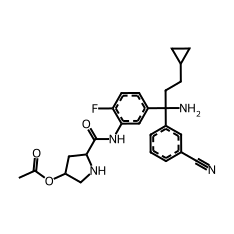 CC(=O)OC1CNC(C(=O)Nc2cc(C(N)(CCC3CC3)c3cccc(C#N)c3)ccc2F)C1